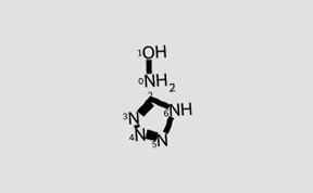 NO.c1nnn[nH]1